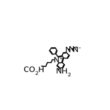 [N-]=[N+]=Nc1ccc2c(c1)c(-c1ccccc1)[n+](CCCCCC(=O)O)c1cc(N)ccc21